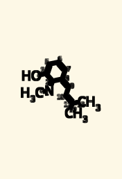 C/N=C1\C(O)=CC=C\C1=C\C=C(C)C